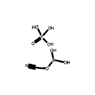 N#COB(O)O.O=P(O)(O)O